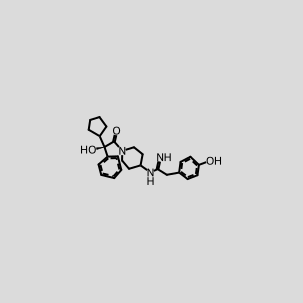 N=C(Cc1ccc(O)cc1)NC1CCN(C(=O)[C@](O)(c2ccccc2)C2CCCC2)CC1